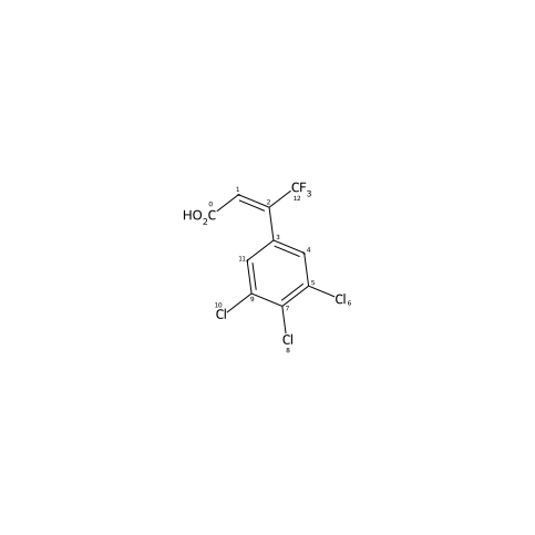 O=C(O)/C=C(\c1cc(Cl)c(Cl)c(Cl)c1)C(F)(F)F